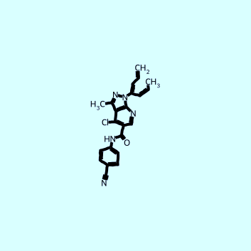 C=C/C=C(\C=C/C)n1nc(C)c2c(Cl)c(C(=O)Nc3ccc(C#N)cc3)cnc21